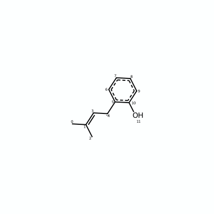 CC(C)=C[C]c1ccccc1O